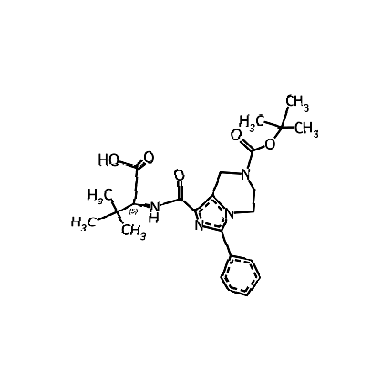 CC(C)(C)OC(=O)N1CCn2c(-c3ccccc3)nc(C(=O)N[C@H](C(=O)O)C(C)(C)C)c2C1